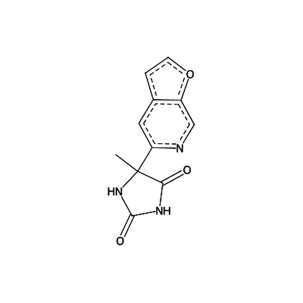 CC1(c2cc3ccoc3cn2)NC(=O)NC1=O